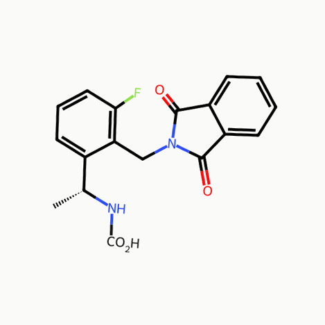 C[C@@H](NC(=O)O)c1cccc(F)c1CN1C(=O)c2ccccc2C1=O